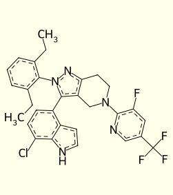 CCc1cccc(CC)c1-n1nc2c(c1-c1ccc(Cl)c3[nH]ccc13)CN(c1ncc(C(F)(F)F)cc1F)CC2